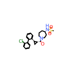 CS(=O)(=O)N[C@H]1CCCN(C(=O)[C@@H]2C[C@H]2c2ccccc2-c2ccccc2Cl)CC1